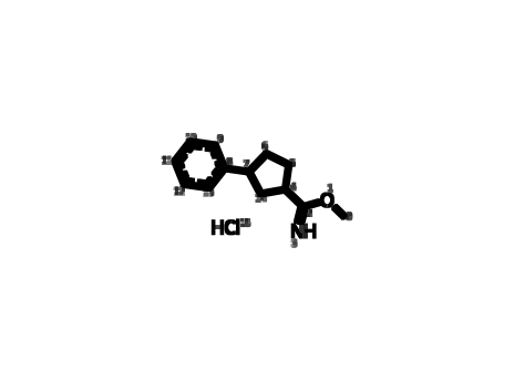 COC(=N)C1CCC(c2ccccc2)C1.Cl